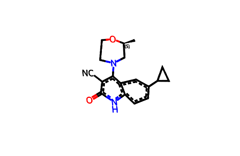 C[C@H]1CN(c2c(C#N)c(=O)[nH]c3ccc(C4CC4)cc23)CCO1